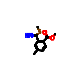 COC(=O)c1ccc(C)cc1C(=N)SC